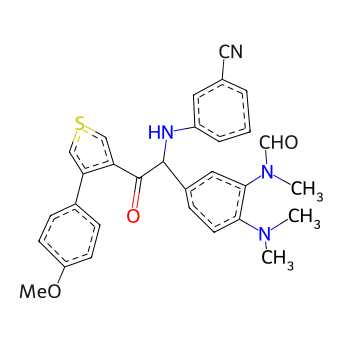 COc1ccc(-c2cscc2C(=O)C(Nc2cccc(C#N)c2)c2ccc(N(C)C)c(N(C)C=O)c2)cc1